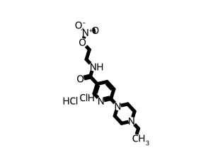 CCN1CCN(c2ccc(C(=O)NCCO[N+](=O)[O-])cn2)CC1.Cl.Cl